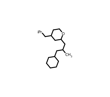 CC(C)CC1CCOC(CC(C)CC2CCCCC2)C1